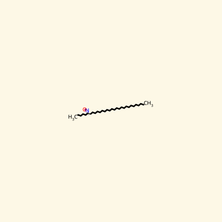 CCCCCCCCCCCCCCCCCCCCCCCC[C@@H](CCCCC)N=O